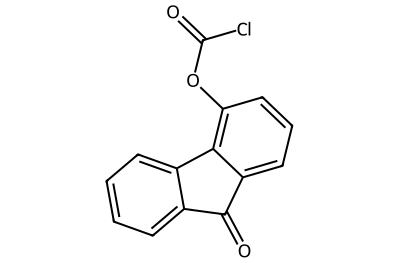 O=C(Cl)Oc1cccc2c1-c1ccccc1C2=O